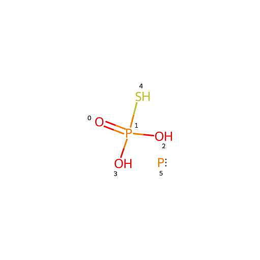 O=P(O)(O)S.[P]